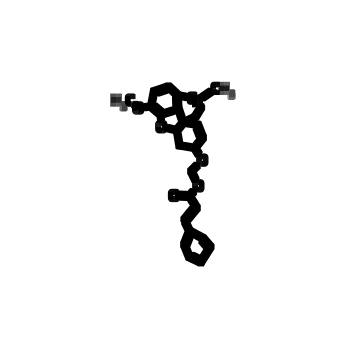 COc1ccc2c3c1OC1CC(OCOC(=O)/C=C/c4ccccc4)C=CC31CCN(C)C2